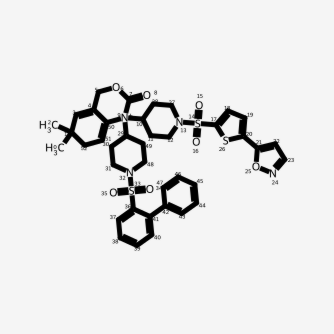 CC1(C)C=C2COC(=O)[N+](C3CCN(S(=O)(=O)c4ccc(-c5ccno5)s4)CC3)(C3CCN(S(=O)(=O)c4ccccc4-c4ccccc4)CC3)C2=CC1